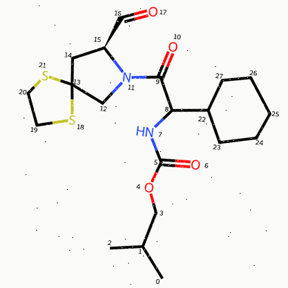 CC(C)COC(=O)NC(C(=O)N1CC2(C[C@H]1C=O)SCCS2)C1CCCCC1